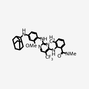 CNC(=O)c1cccc(C)c1Nc1nc(Nc2ccc(NC3C4CC5CC(C4)CC3C5)cc2OC)ncc1C(F)(F)F